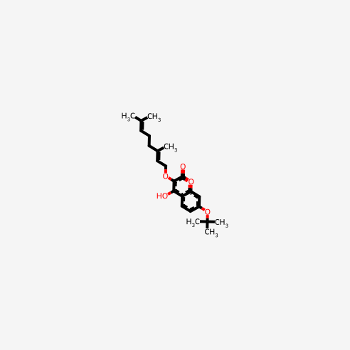 CC(C)=CCC/C(C)=C/COc1c(O)c2ccc(OC(C)(C)C)cc2oc1=O